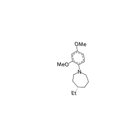 CC[C@H]1CCCN(c2ccc(OC)cc2OC)CC1